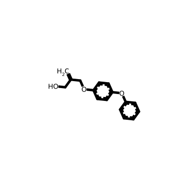 C=C(CO)COc1ccc(Oc2ccccc2)cc1